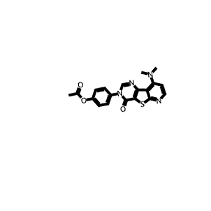 CC(=O)Oc1ccc(-n2cnc3c(sc4nccc(N(C)C)c43)c2=O)cc1